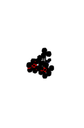 C=C/C=C(\C)c1ccc(-c2ccc3c(c2)c2ccccc2n3-c2ccccc2)cc1Nc1cc(-n2c3cc(-c4ccc5c(c4)c4ccccc4n5-c4ccccc4)ccc3c3ccc(-c4ccc5c(c4)c4ccccc4n5-c4ccccc4)cc32)nc(-n2c3cc(-c4ccc5c(c4)c4ccccc4n5-c4ccccc4)ccc3c3ccc(-c4ccc5c(c4)c4ccccc4n5-c4ccccc4)cc32)n1